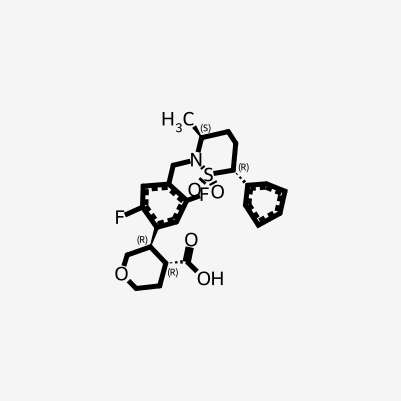 C[C@H]1CC[C@H](c2ccccc2)S(=O)(=O)N1Cc1cc(F)c([C@@H]2COCC[C@H]2C(=O)O)cc1F